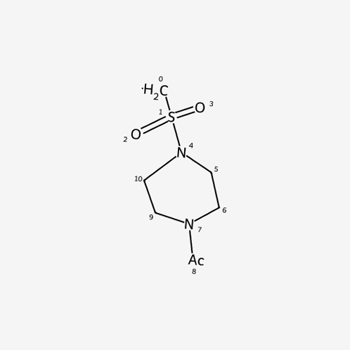 [CH2]S(=O)(=O)N1CCN(C(C)=O)CC1